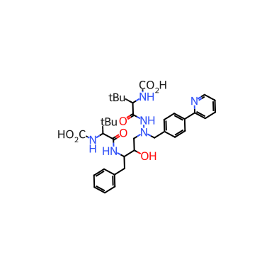 CC(C)(C)C(NC(=O)O)C(=O)NC(Cc1ccccc1)C(O)CN(Cc1ccc(-c2ccccn2)cc1)NC(=O)C(NC(=O)O)C(C)(C)C